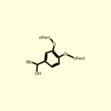 CCCCCOc1ccc(C(O)C(C)(C)C)cc1OCCCCC